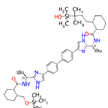 CC(C)(C)[C@H](NC(=O)C1CCCCC1CCC(C)(C)[Si](C)(C)O)c1nc(-c2ccc(-c3ccc(-c4c[nH]c([C@@H](NC(=O)C5CCCCC5CO[Si](C)(C)C(C)(C)C)C(C)(C)C)n4)cc3)cc2)c[nH]1